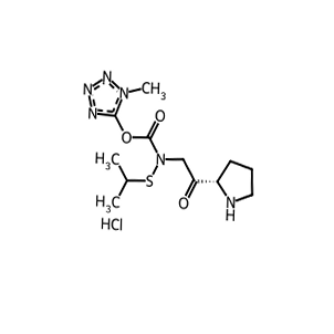 CC(C)SN(CC(=O)[C@@H]1CCCN1)C(=O)Oc1nnnn1C.Cl